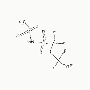 CCCC(F)(F)CC(F)(F)S(=O)(=O)NS(=O)(=O)C(F)(F)F